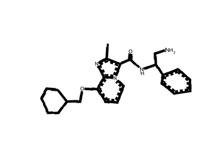 Cc1nc2c(OCC3CCCCC3)cccn2c1C(=O)NC(CN)c1ccccc1